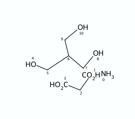 N.O=C(O)CC(=O)O.OCC(CO)CO